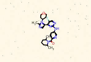 Cc1ncc(-c2nc(Nc3ccc(C(=O)N4C(C)CCCC4C)nc3)ncc2F)n1C1CCOCC1